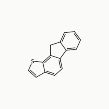 c1ccc2c(c1)Cc1c-2ccc2ccsc12